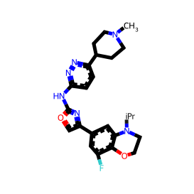 CC(C)N1CCOc2c(F)cc(-c3coc(Nc4ccc(C5CCN(C)CC5)nn4)n3)cc21